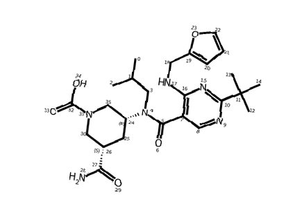 CC(C)CN(C(=O)c1cnc(C(C)(C)C)nc1NCc1ccco1)[C@@H]1C[C@H](C(N)=O)CN(C(=O)O)C1